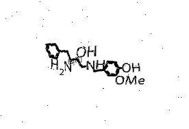 COc1cc(CNC[C@@H](O)[C@@H](N)Cc2ccccc2)ccc1O